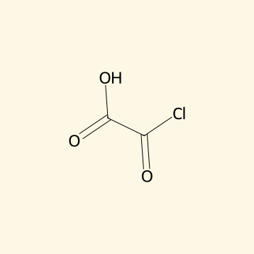 O=C(O)C(=O)Cl